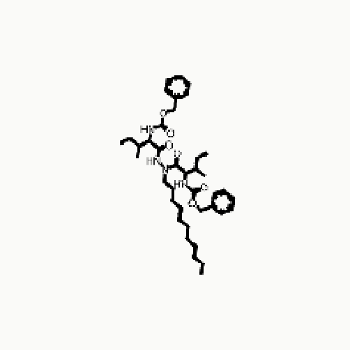 CCCCCCCCCCCN(NC(=O)C(NC(=O)OCc1ccccc1)C(C)CC)C(=O)C(NC(=O)OCc1ccccc1)C(C)CC